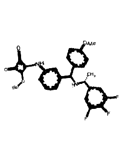 COc1ccc(C(N[C@H](C)c2cc(F)c(F)c(F)c2)c2cccc(Nc3c(OC(C)(C)C)c(=O)c3=O)c2)cc1